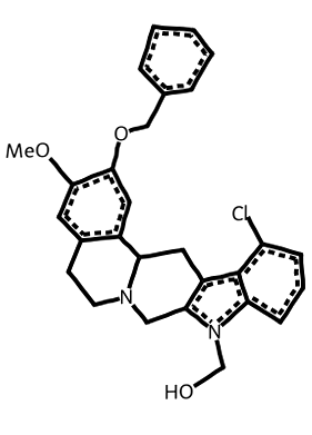 COc1cc2c(cc1OCc1ccccc1)C1Cc3c(n(CO)c4cccc(Cl)c34)CN1CC2